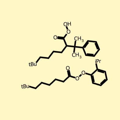 CC(C)(C)CCCCC(C(=O)OO)C(C)(C)c1ccccc1.CC(C)c1ccccc1OOC(=O)CCCCCC(C)(C)C